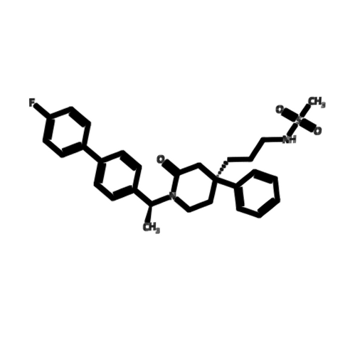 C[C@@H](c1ccc(-c2ccc(F)cc2)cc1)N1CC[C@](CCCNS(C)(=O)=O)(c2ccccc2)CC1=O